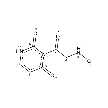 O=C(CNCl)n1c(=O)cc[nH]c1=O